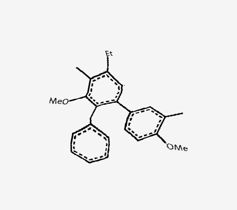 CCc1[c]c(-c2ccc(OC)c(C)c2)c(-c2ccccc2)c(OC)c1C